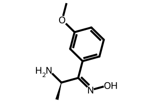 COc1cccc(/C(=N\O)[C@@H](C)N)c1